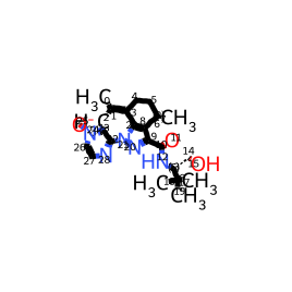 CC(C)=C1CC[C@@H](C)c2c(C(=O)N[C@H](CO)C(C)(C)C)nn(-c3c[n+]([O-])ccn3)c21